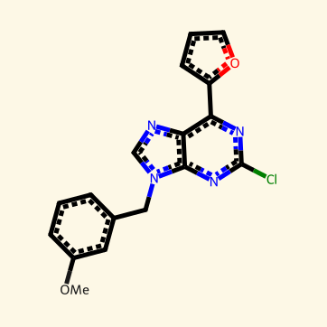 COc1cccc(Cn2cnc3c(-c4ccco4)nc(Cl)nc32)c1